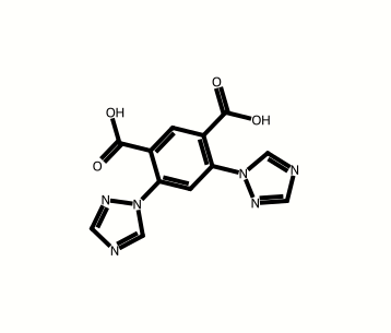 O=C(O)c1cc(C(=O)O)c(-n2cncn2)cc1-n1cncn1